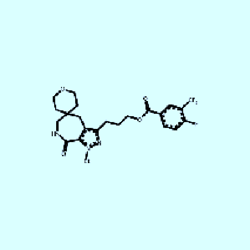 CCn1nc(CCCOC(=O)c2ccc(F)c(C(F)(F)F)c2)c2c1C(=O)NCC1(CCOCC1)C2